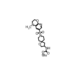 CN1CCOc2ncc(S(=O)(=O)N3CCC4(CC3)CC(NC(=O)OC(C)(C)C)CO4)cc21